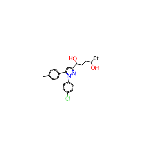 CCC(O)CCC(O)c1cc(-c2ccc(C)cc2)n(-c2ccc(Cl)cc2)n1